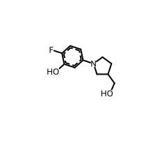 OCC1CCN(c2ccc(F)c(O)c2)C1